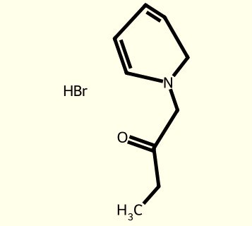 Br.CCC(=O)CN1C=CC=CC1